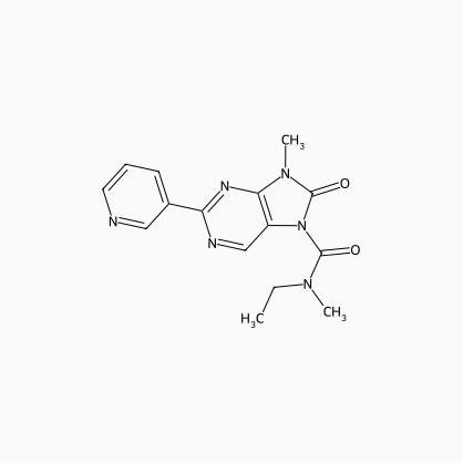 CCN(C)C(=O)n1c(=O)n(C)c2nc(-c3cccnc3)ncc21